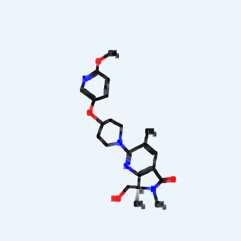 COc1ccc(OC2CCN(c3nc4c(cc3C)C(=O)N(C)[C@@]4(C)CO)CC2)cn1